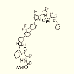 COC(=O)NC(C(=O)N1C2CCC(C2)C1c1nc2ccc(-c3ccc4c(c3)C(F)(F)c3cc(-c5c[nH]c(C6CC7(CC7)CN6C(=O)C(NC(=O)OCc6ccccc6)C(C)C)n5)ccc3-4)cc2[nH]1)C(C)C